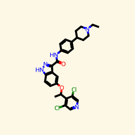 CCN1CCC(c2ccc(NC(=O)c3n[nH]c4ccc(OC(C)c5c(Cl)cncc5Cl)cc34)cc2)CC1